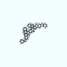 CC1(C)c2cc(Oc3ccccc3)ccc2-c2cc3c4c(c21)Oc1ccccc1B4c1cc2c(cc1S3)Sc1c3c(cc4cc(Oc5ccccc5)ccc14)Oc1ccccc1B23